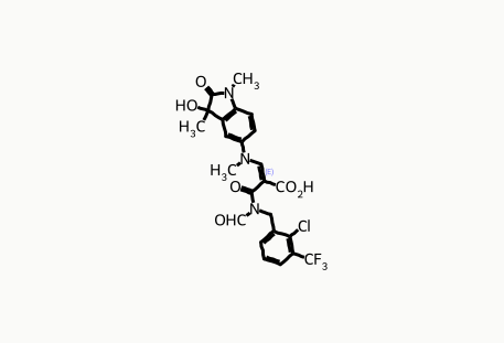 CN(/C=C(/C(=O)O)C(=O)N(C=O)Cc1cccc(C(F)(F)F)c1Cl)c1ccc2c(c1)C(C)(O)C(=O)N2C